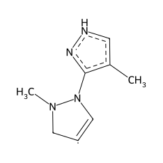 Cc1c[nH]nc1N1C=[C]CN1C